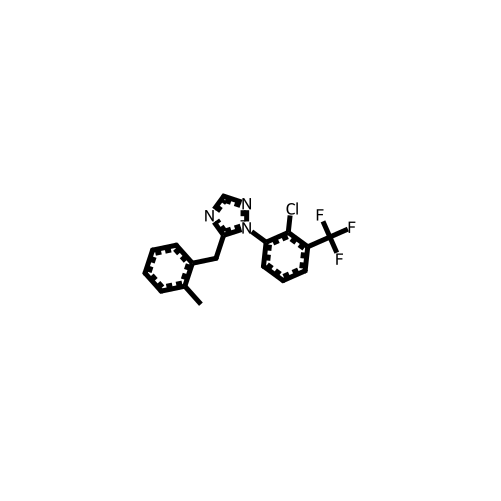 Cc1ccccc1Cc1ncnn1-c1cccc(C(F)(F)F)c1Cl